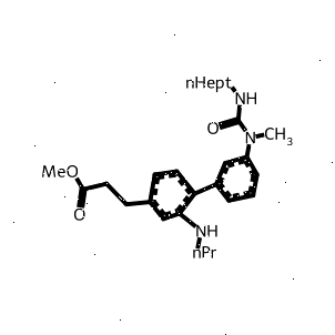 CCCCCCCNC(=O)N(C)c1cccc(-c2ccc(CCC(=O)OC)cc2NCCC)c1